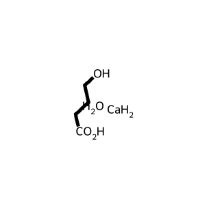 O.O=C(O)CCCO.[CaH2]